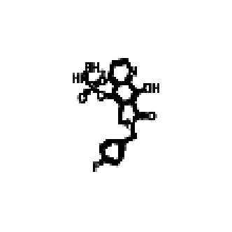 BNS(=O)(=O)Oc1c2c(c(O)c3ncccc13)C(=O)N(Cc1ccc(F)cc1)C2